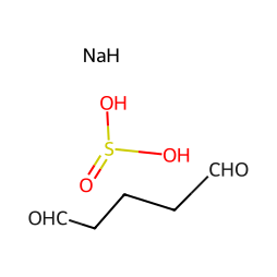 O=CCCCC=O.O=S(O)O.[NaH]